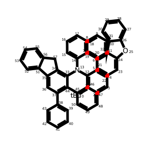 CC(C)(C)c1cccc(-c2ccccc2)c1N(c1ccccc1-c1cccc2oc3ccccc3c12)c1c2c(cc(-c3ccccc3)c1-c1ccccc1)-c1ccccc1C2